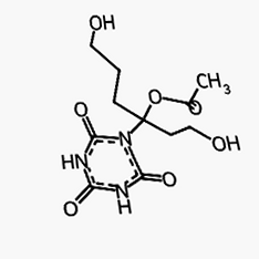 CC(=O)OC(CCO)(CCCO)n1c(=O)[nH]c(=O)[nH]c1=O